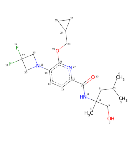 CC(C)CC(C)(CO)NC(=O)c1ccc(N2CC(F)(F)C2)c(OCC2CC2)n1